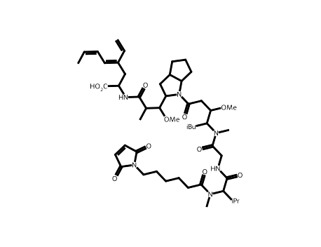 C=C/C(=C\C=C/C)CC(NC(=O)C(C)C(OC)C1CC2CCCC2N1C(=O)CC(OC)C(C(C)CC)N(C)C(=O)CNC(=O)C(C(C)C)N(C)C(=O)CCCCCN1C(=O)C=CC1=O)C(=O)O